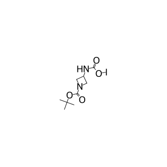 CC(C)(C)OC(=O)N1CC(NC(=O)OI)C1